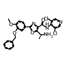 COc1ccc(-c2nc(C(=O)Nc3c(Cl)cncc3Cl)c([C@H](C)N)o2)cc1OCc1ccccc1